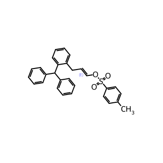 Cc1ccc(S(=O)(=O)O/C=C/Cc2ccccc2C(c2ccccc2)c2ccccc2)cc1